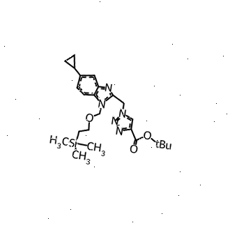 CC(C)(C)OC(=O)c1cn(Cc2nc3cc(C4CC4)ccc3n2COCC[Si](C)(C)C)nn1